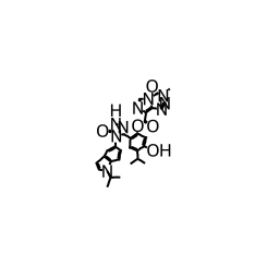 CC(C)c1cc(-c2n[nH]c(=O)n2-c2ccc3c(ccn3C(C)C)c2)c(OC(=O)c2ncn3c(=O)n(C)nnc23)cc1O